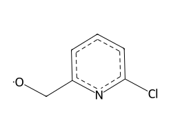 [O]Cc1cccc(Cl)n1